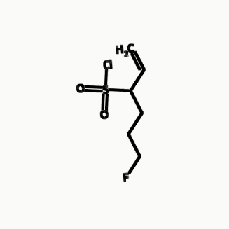 C=CC(CCCF)S(=O)(=O)Cl